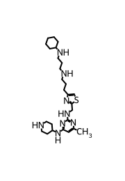 Cc1cc(NC2CCNCC2)nc(NCc2nc(CCCNCCCNC3CCCCC3)cs2)n1